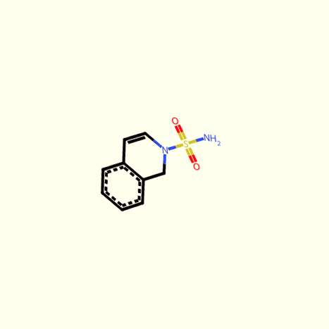 NS(=O)(=O)N1C=Cc2ccccc2C1